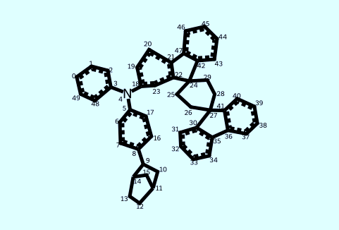 c1ccc(N(c2ccc(C3CC4CCC3C4)cc2)c2ccc3c(c2)C2(CCC4(CC2)c2ccccc2-c2ccccc24)c2ccccc2-3)cc1